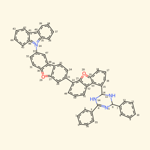 c1ccc(C2=NC(c3ccccc3)NC(c3cccc4oc5c(-c6ccc7c(c6)oc6ccc(-n8c9ccccc9c9ccccc98)cc67)cccc5c34)N2)cc1